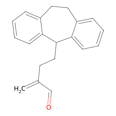 C=C(C=O)CCC1c2ccccc2CCc2ccccc21